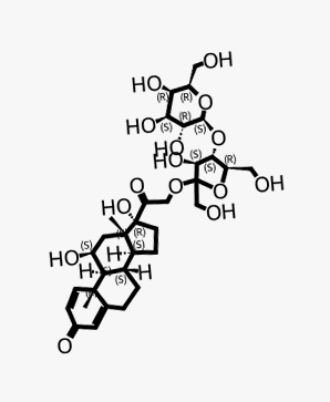 C[C@]12C=CC(=O)C=C1CC[C@@H]1[C@@H]2[C@@H](O)C[C@@]2(C)[C@H]1CC[C@]2(O)C(=O)COC1(CO)O[C@H](CO)[C@@H](O[C@@H]2O[C@H](CO)[C@H](O)[C@H](O)[C@H]2O)[C@@H]1O